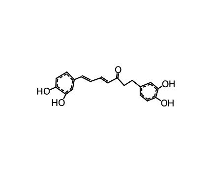 O=C(C=CC=Cc1ccc(O)c(O)c1)CCc1ccc(O)c(O)c1